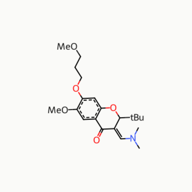 COCCCOc1cc2c(cc1OC)C(=O)C(=CN(C)C)C(C(C)(C)C)O2